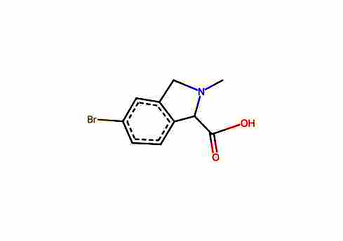 CN1Cc2cc(Br)ccc2C1C(=O)O